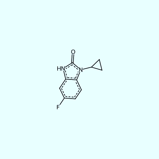 O=c1[nH]c2cc(F)ccc2n1C1CC1